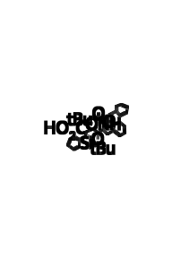 CC(C)(C)OC(=O)NC(Cc1ccccc1OCc1ccccc1)C(CC(Cc1ccccc1)C(=O)O)O[Si](C)(C)C(C)(C)C